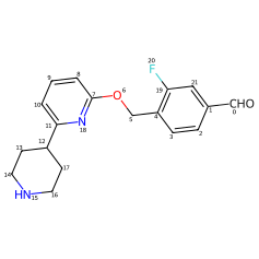 O=Cc1ccc(COc2cccc(C3CCNCC3)n2)c(F)c1